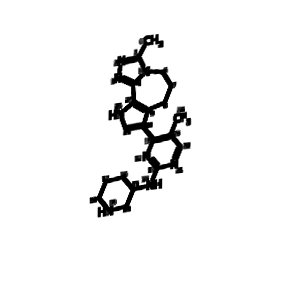 Cc1nnc2n1CCCc1c(-c3nc(NC4CCCNC4)ncc3C(F)(F)F)c[nH]c1-2